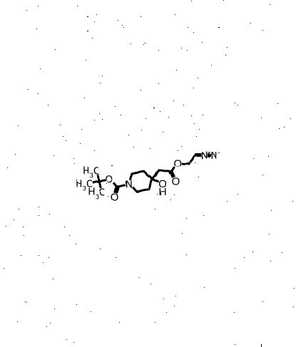 CC(C)(C)OC(=O)N1CCC(O)(CC(=O)OCC=[N+]=[N-])CC1